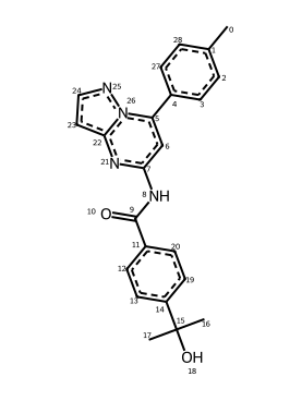 Cc1ccc(-c2cc(NC(=O)c3ccc(C(C)(C)O)cc3)nc3ccnn23)cc1